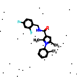 Cc1cc(C(=O)NCc2ccc(F)cc2F)c(C)n1-c1ccccc1C(F)(F)F